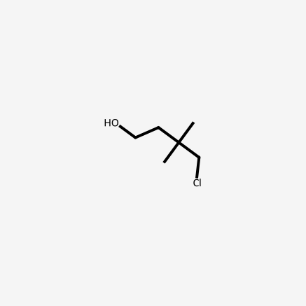 CC(C)(CCl)CCO